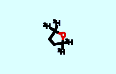 [2H]C1([2H])CCC([2H])([2H])O1